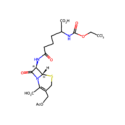 CC(=O)OCC1=C(C(=O)O)N2C(=O)[C@@H](NC(=O)CCCC(NC(=O)OCC(Cl)(Cl)Cl)C(=O)O)[C@@H]2SC1